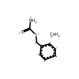 NC(=S)SCc1ccccc1.[CaH2]